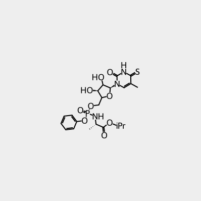 Cc1cn([C@H]2OC(COP(=O)(N[C@@H](C)C(=O)OC(C)C)Oc3ccccc3)[C@@H](O)C2O)c(=O)[nH]c1=S